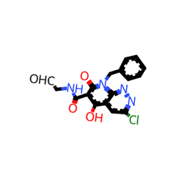 O=CCNC(=O)c1c(O)c2cc(Cl)nnc2n(Cc2ccccc2)c1=O